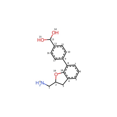 NCC1Cc2cccc(-c3ccc(C(O)O)cc3)c2O1